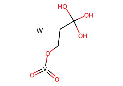 [O]=[V](=[O])[O]CCC(O)(O)O.[W]